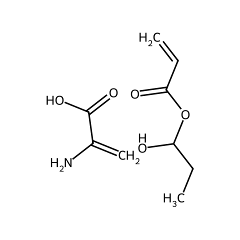 C=C(N)C(=O)O.C=CC(=O)OC(O)CC